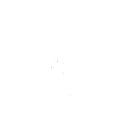 CC(C)OB(O)c1ccccc1-c1nnn(C(C)Cc2ccccc2)n1